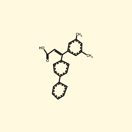 Cc1cc(C)cc(C(=CC(=O)O)c2ccc(-c3ccccc3)cc2)c1